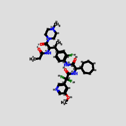 CCC(=O)NC(C(=O)N1CCN(C)CC1)C(C)c1ccc(NC(=O)C(NC(=O)C(F)(F)c2cncc(OC)c2)C2CCCCCC2)c(F)c1